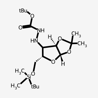 CC(C)(C)OC(=O)NNC1[C@H]2OC(C)(C)O[C@@H]2O[C@@H]1CO[Si](C)(C)C(C)(C)C